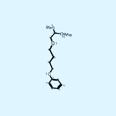 COC(COCCCCOc1ccccc1)OC